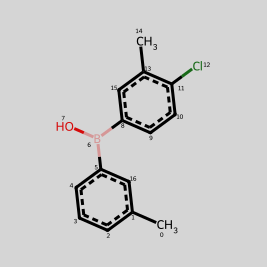 Cc1cccc(B(O)c2ccc(Cl)c(C)c2)c1